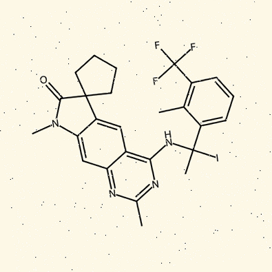 Cc1nc(NC(C)(I)c2cccc(C(F)(F)F)c2C)c2cc3c(cc2n1)N(C)C(=O)C31CCCC1